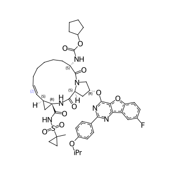 CC(C)Oc1ccc(-c2nc(O[C@@H]3C[C@H]4C(=O)N[C@]5(C(=O)NS(=O)(=O)C6(C)CC6)C[C@H]5/C=C\CCCCC[C@H](NC(=O)OC5CCCC5)C(=O)N4C3)c3oc4ccc(F)cc4c3n2)cc1